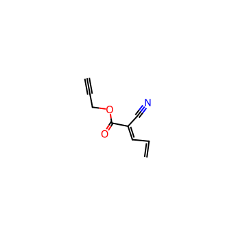 C#CCOC(=O)/C(C#N)=C/C=C